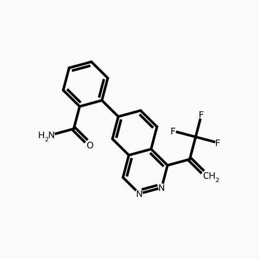 C=C(c1nncc2cc(-c3ccccc3C(N)=O)ccc12)C(F)(F)F